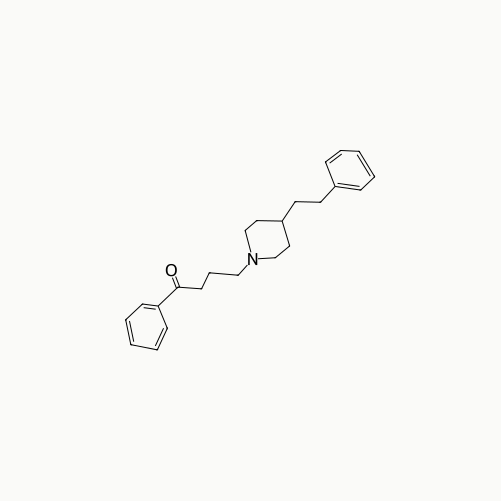 O=C(CCCN1CCC(CCc2ccccc2)CC1)c1ccccc1